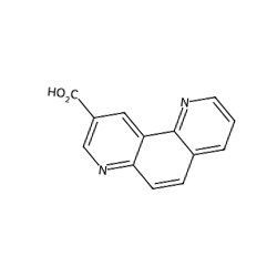 O=C(O)c1cnc2ccc3cccnc3c2c1